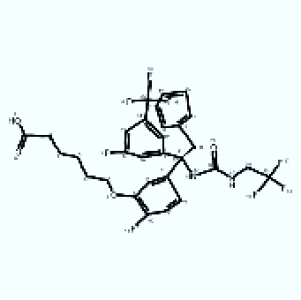 O=C(O)CCCCCOc1cc([C@@](Cc2ccccc2)(NC(=O)NCC(F)(F)F)c2cc(F)cc(C(F)(F)F)c2)ccc1F